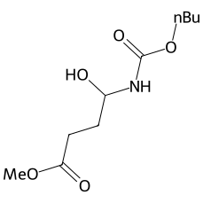 CCCCOC(=O)NC(O)CCC(=O)OC